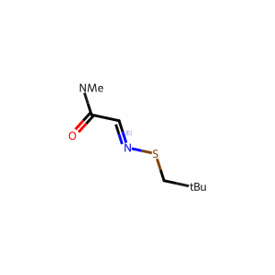 CNC(=O)/C=N/SCC(C)(C)C